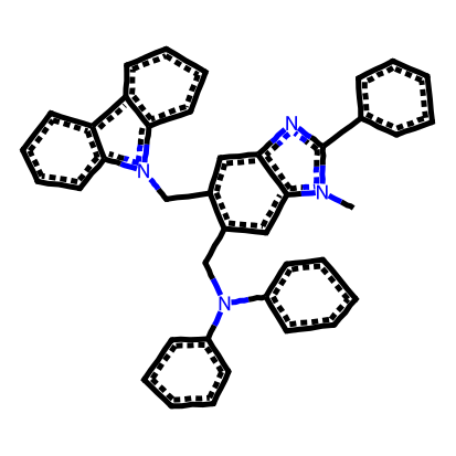 Cn1c(-c2ccccc2)nc2cc(Cn3c4ccccc4c4ccccc43)c(CN(c3ccccc3)c3ccccc3)cc21